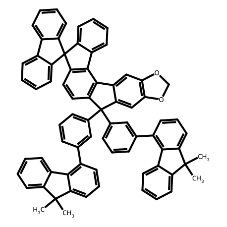 CC1(C)c2ccccc2-c2c(-c3cccc(C4(c5cccc(-c6cccc7c6-c6ccccc6C7(C)C)c5)c5cc6c(cc5-c5c4ccc4c5-c5ccccc5C45c4ccccc4-c4ccccc45)OCO6)c3)cccc21